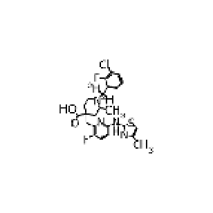 [2H]C([2H])(c1cccc(Cl)c1F)N1CCC(Cc2nc(Nc3nc(C)cs3)ccc2F)(C(=O)O)CC1C